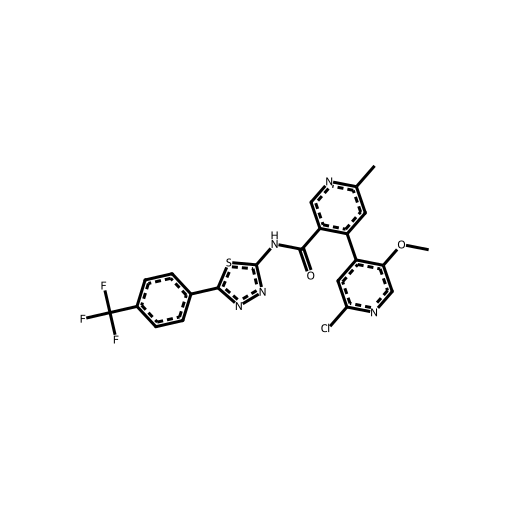 COc1cnc(Cl)cc1-c1cc(C)ncc1C(=O)Nc1nnc(-c2ccc(C(F)(F)F)cc2)s1